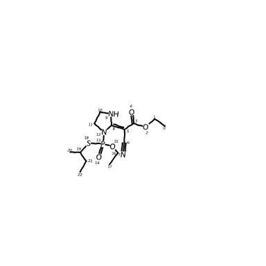 CCOC(=O)C(C#N)=C1NCCN1P(=O)(OCC)SC(C)CC